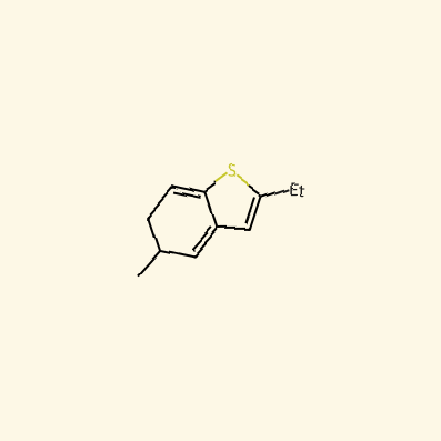 CCc1cc2c(s1)=CCC(C)C=2